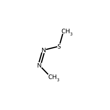 C/N=N\SC